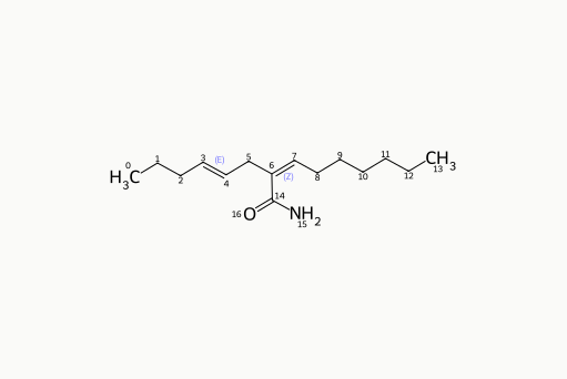 CCC/C=C/C/C(=C/CCCCCC)C(N)=O